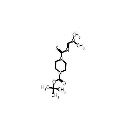 CN(C)/C=N/C(=S)N1CCN(C(=O)OC(C)(C)C)CC1